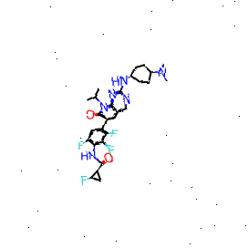 CC(C)n1c(=O)c(-c2cc(F)c(NC(=O)[C@H]3C[C@H]3F)c(F)c2F)cc2cnc(N[C@H]3CC[C@H](N(C)C)CC3)nc21